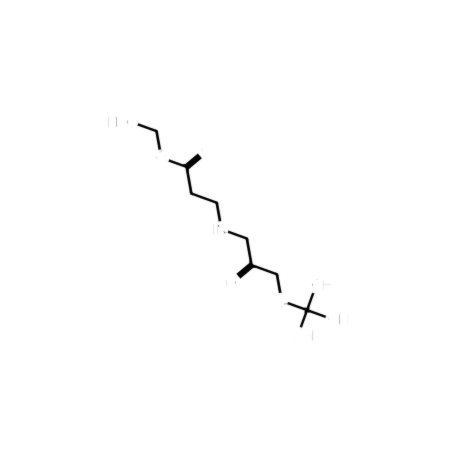 CCOC(=O)CCNCC(=O)CSC(C)(C)C